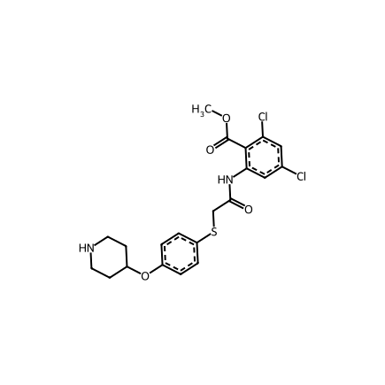 COC(=O)c1c(Cl)cc(Cl)cc1NC(=O)CSc1ccc(OC2CCNCC2)cc1